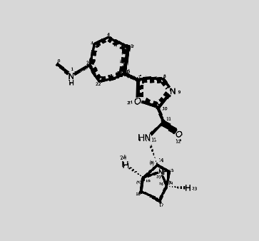 CNc1cccc(-c2cnc(C(=O)N[C@@H]3C[C@H]4CC[C@@H]3N4)o2)c1